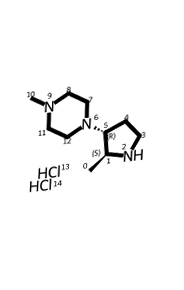 C[C@@H]1NCC[C@H]1N1CCN(C)CC1.Cl.Cl